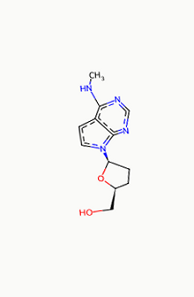 CNc1ncnc2c1ccn2[C@H]1CC[C@@H](CO)O1